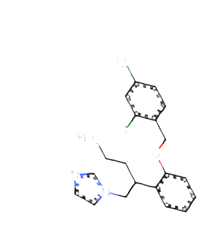 CCCC(Cn1ccnc1)c1ccccc1OCc1ccc(Cl)cc1Cl